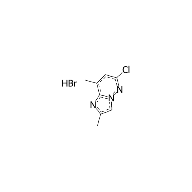 Br.Cc1cn2nc(Cl)cc(C)c2n1